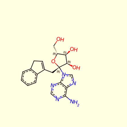 Nc1ncnc2c1ncn2[C@]1(CC2=CCc3ccccc32)O[C@H](CO)[C@@H](O)[C@H]1O